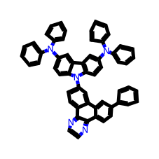 c1ccc(-c2ccc3c(c2)c2cc(-n4c5ccc(N(c6ccccc6)c6ccccc6)cc5c5cc(N(c6ccccc6)c6ccccc6)ccc54)ccc2c2nccnc32)cc1